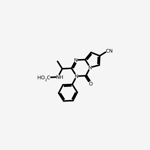 CC(NC(=O)O)c1nc2cc(C#N)cn2c(=O)n1-c1ccccc1